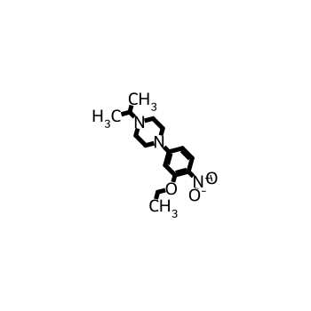 CCOc1cc(N2CCN(C(C)C)CC2)ccc1[N+](=O)[O-]